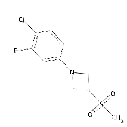 CS(=O)(=O)C1CN(c2ccc(Cl)c(F)c2)C1